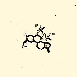 C=C1CCC2C3C(CC[C@]12C)[C@@]1(C)C/C(=C\O)C(=O)CC1[C@@H](O[Si](C)(C)C(C)(C)C)[C@@H]3O[Si](C)(C)C(C)(C)C